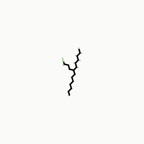 CCCCCCCC(CCCF)CCCCCC